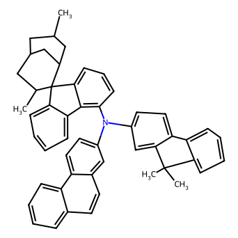 CC1CC2CC(C)C3(c4ccccc4-c4c(N(c5ccc6c(c5)C(C)(C)c5ccccc5-6)c5ccc6c(ccc7ccccc76)c5)cccc43)C(C1)C2